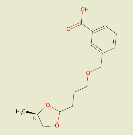 C[C@@H]1COC(CCCOCc2cccc(C(=O)O)c2)O1